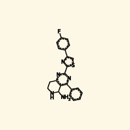 NC1NCCc2nc(-c3nc(-c4ccc(F)cc4)cs3)nc(-c3ccccc3)c21